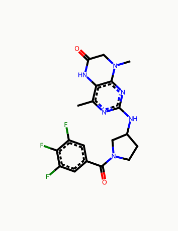 Cc1nc(NC2CCN(C(=O)c3cc(F)c(F)c(F)c3)C2)nc2c1NC(=O)CN2C